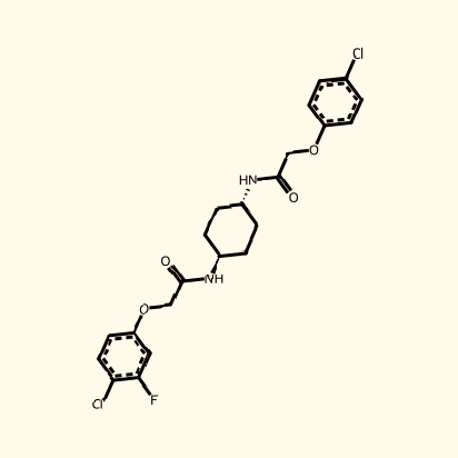 O=C(COc1ccc(Cl)cc1)N[C@H]1CC[C@H](NC(=O)COc2ccc(Cl)c(F)c2)CC1